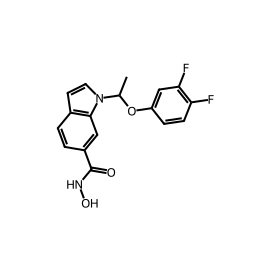 CC(Oc1ccc(F)c(F)c1)n1ccc2ccc(C(=O)NO)cc21